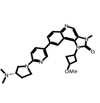 COC1CC(n2c(=O)n(C)c3cnc4ccc(-c5ccc(N6CC[C@H](N(C)C)C6)nc5)cc4c32)C1